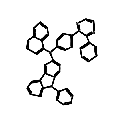 c1ccc(-c2nccnc2-c2ccc(N(c3ccc4c(c3)c3ccccc3n4-c3ccccc3)c3cccc4ccccc34)cc2)cc1